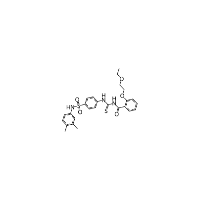 CCOCCOc1ccccc1C(=O)NC(=S)Nc1ccc(S(=O)(=O)Nc2ccc(C)c(C)c2)cc1